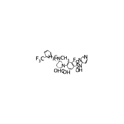 CN(C)[C@]1(CCc2cccc(C(F)(F)F)c2)CCCN(c2ccc(S(=O)(=O)Nc3ccncn3)c(F)c2)C1.O=CO